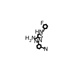 N#Cc1cccc(-c2nc(N)c3cc(NCc4cccc(F)c4)sc3n2)c1